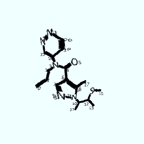 C=CCN(C(=O)c1cnn(C(C)C(C)SC)c1C)c1ccnnc1